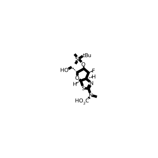 CN(C(=O)O)C1=N[C@@H]2[C@@H](F)[C@H](O[Si](C)(C)C(C)(C)C)[C@@H](CO)O[C@@H]2S1